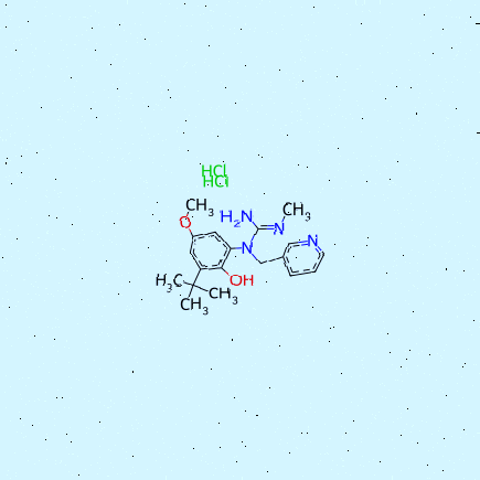 CN=C(N)N(Cc1cccnc1)c1cc(OC)cc(C(C)(C)C)c1O.Cl.Cl